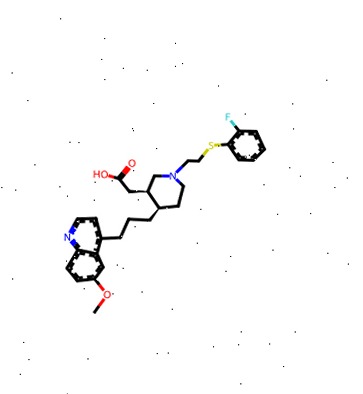 COc1ccc2nccc(CCC[C@@H]3CCN(CCSc4ccccc4F)C[C@@H]3CC(=O)O)c2c1